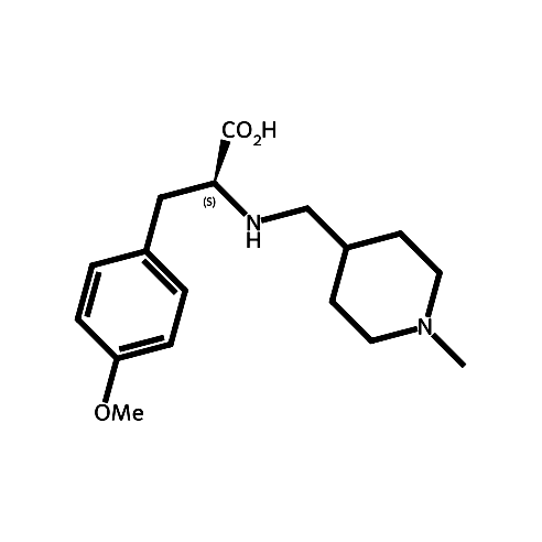 COc1ccc(C[C@H](NCC2CCN(C)CC2)C(=O)O)cc1